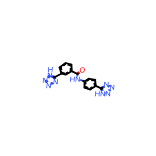 O=C(Nc1ccc(-c2nnn[nH]2)cc1)c1cccc(-c2nnn[nH]2)c1